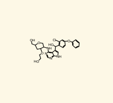 OCCOC1CC(CO)OCC1Nc1ncnc2[nH]cc(C(O)c3ccc(Oc4ccccc4)cc3Cl)c12